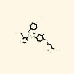 COc1ccc(CN(c2scnc2C(=O)O)S(=O)(=O)c2ccc(NC(=O)CC(=N)N(C)O)c(F)c2)cc1